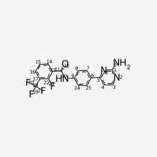 Nc1nccc(-c2ccc(NC(=O)c3cccc(C(F)(F)F)c3F)cc2)n1